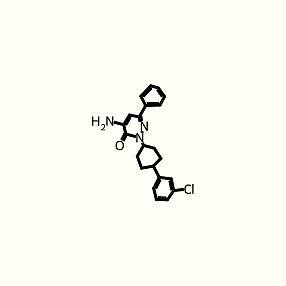 Nc1cc(-c2ccccc2)nn(C2CCC(c3cccc(Cl)c3)CC2)c1=O